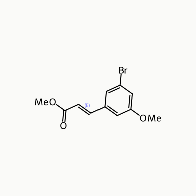 COC(=O)/C=C/c1cc(Br)cc(OC)c1